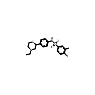 CCN1CCOC(c2ccc(NS(=O)(=O)c3ccc(F)c(F)c3)cc2)C1